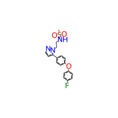 CS(=O)(=O)NCCn1nccc1-c1ccc(Oc2ccc(F)cc2)cc1